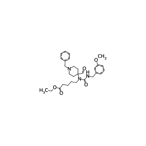 CCOC(=O)CCCCN(C(=O)NCc1cccc(OC)c1)C1(C=O)CCN(Cc2ccccc2)CC1